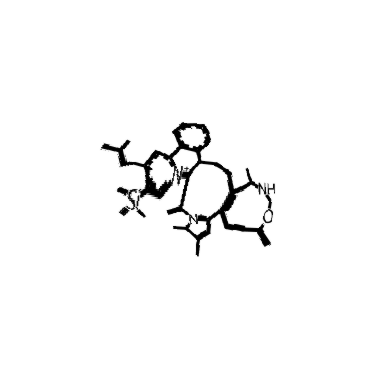 C=C1/C=C\C2=C(\CCC3c4ccccc4-c4cc(CC(C)C)c([Si](C)(C)C)c[n+]4C3C(=C)[N+]3=C2C=C(C)C3C)C(C)NCO1